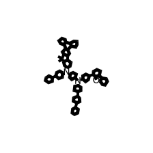 CC1(C)c2cc(N(c3ccc(-c4ccccc4)cc3)c3ccc(N(c4ccc(-c5ccc(-c6ccccc6)cc5)cc4)c4ccc(-c5cccc6c5oc5ccccc56)cc4)cc3)ccc2-c2cc3c4ccccc4c4ccccc4c3cc21